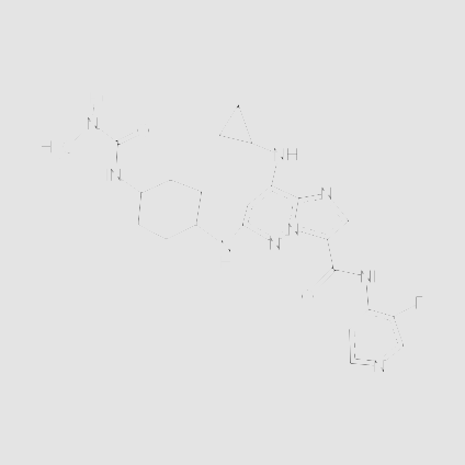 CCN(C)C(=O)NC1CCC(Nc2cc(NC3CC3)c3ncc(C(=O)Nc4ccncc4F)n3n2)CC1